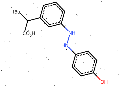 CC(C)(C)C(C(=O)O)c1cccc(NNc2ccc(O)cc2)c1